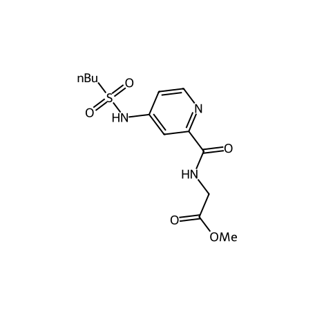 CCCCS(=O)(=O)Nc1ccnc(C(=O)NCC(=O)OC)c1